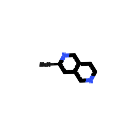 CNc1cc2cnccc2cn1